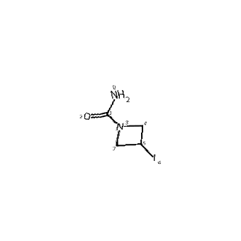 NC(=O)N1CC(I)C1